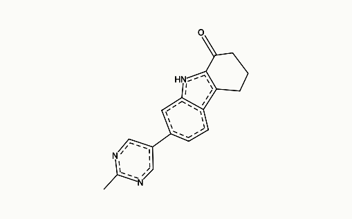 Cc1ncc(-c2ccc3c4c([nH]c3c2)C(=O)CCC4)cn1